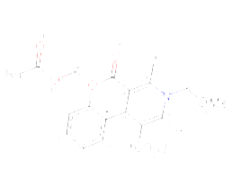 COCN1C(C)=C(C(=O)O)C(c2ccccc2)C(C(=O)OCOC(=O)C(C)(C)C)=C1C